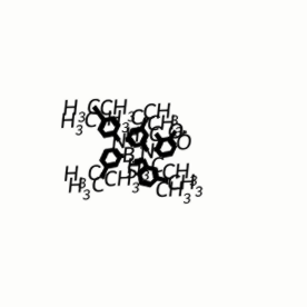 Cc1cc2c(c(C)c1N1c3cc(C(C)(C)C)cc4c3B(c3cc(C(C)(C)C)ccc3N4c3ccc(C(C)(C)C)cc3)c3sc4ccc(C(C)(C)C)cc4c31)OCO2